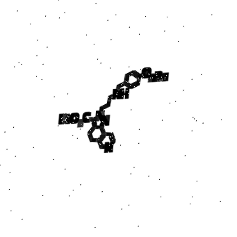 CCCCOc1ccc(CNCCCn2nc3c(c2C(=O)OCC)CCc2cnccc2-3)cc1